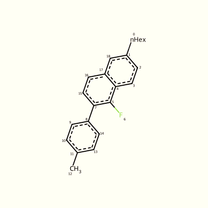 CCCCCCc1ccc2c(F)c(-c3ccc(C)cc3)ccc2c1